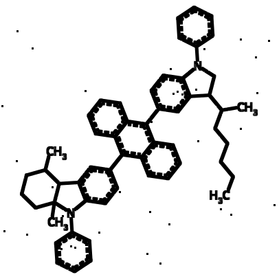 CCCCCC(C)C1CN(c2ccccc2)c2ccc(-c3c4ccccc4c(-c4ccc5c(c4)C4C(C)CCCC4(C)N5c4ccccc4)c4ccccc34)cc21